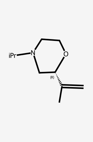 C=C(C)[C@@H]1CN(C(C)C)CCO1